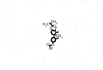 C=C(C)C(=O)OC1=C(F)C(F)C(C)(c2ccc(OC(=O)C(C)C)cc2F)C=C1